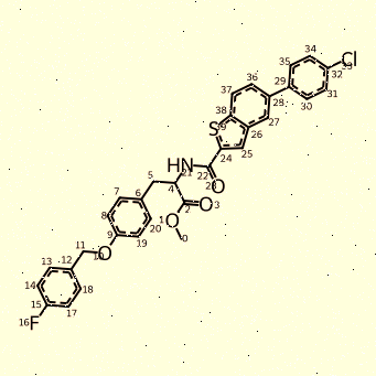 COC(=O)C(Cc1ccc(OCc2ccc(F)cc2)cc1)NC(=O)c1cc2cc(-c3ccc(Cl)cc3)ccc2s1